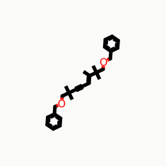 C/C(=C\C#CC(C)(C)COCc1ccccc1)C(C)(C)COCc1ccccc1